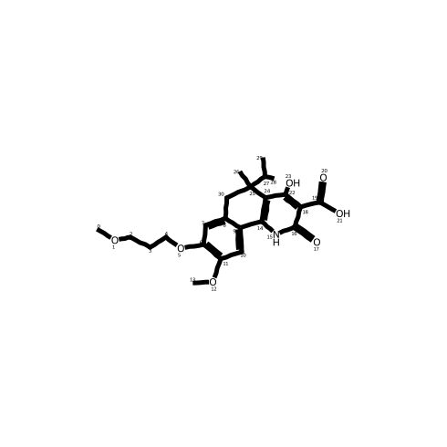 COCCCOc1cc2c(cc1OC)-c1[nH]c(=O)c(C(=O)O)c(O)c1C(C)(C(C)C)C2